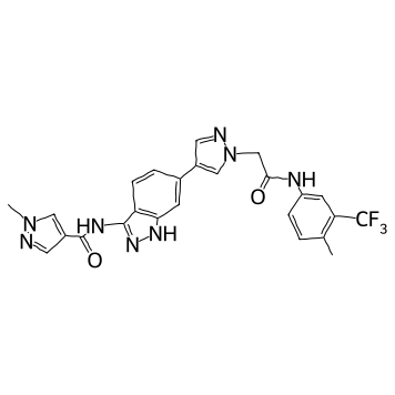 Cc1ccc(NC(=O)Cn2cc(-c3ccc4c(NC(=O)c5cnn(C)c5)n[nH]c4c3)cn2)cc1C(F)(F)F